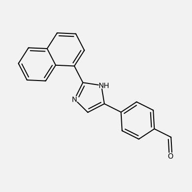 O=Cc1ccc(-c2cnc(-c3cccc4ccccc34)[nH]2)cc1